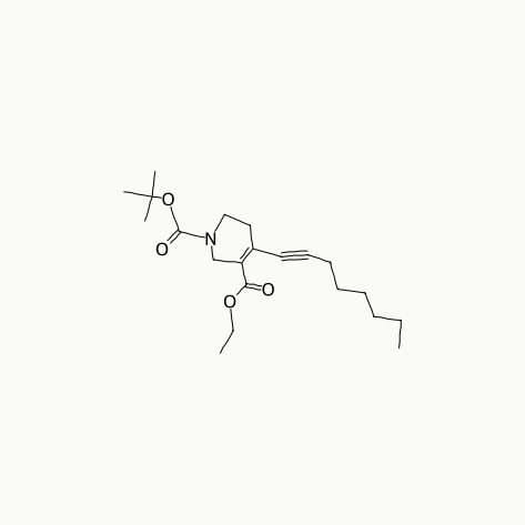 CCCCCCC#CC1=C(C(=O)OCC)CN(C(=O)OC(C)(C)C)CC1